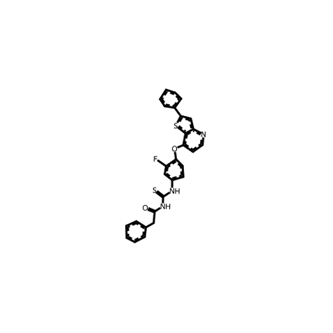 O=C(Cc1ccccc1)NC(=S)Nc1ccc(Oc2ccnc3cc(-c4ccccc4)sc23)c(F)c1